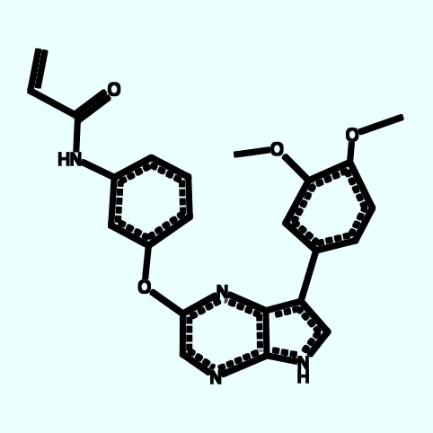 C=CC(=O)Nc1cccc(Oc2cnc3[nH]cc(-c4ccc(OC)c(OC)c4)c3n2)c1